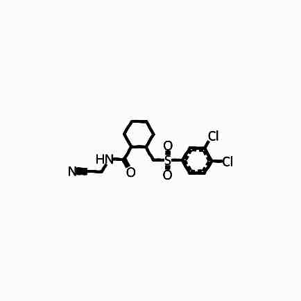 N#CCNC(=O)C1CCCCC1CS(=O)(=O)c1ccc(Cl)c(Cl)c1